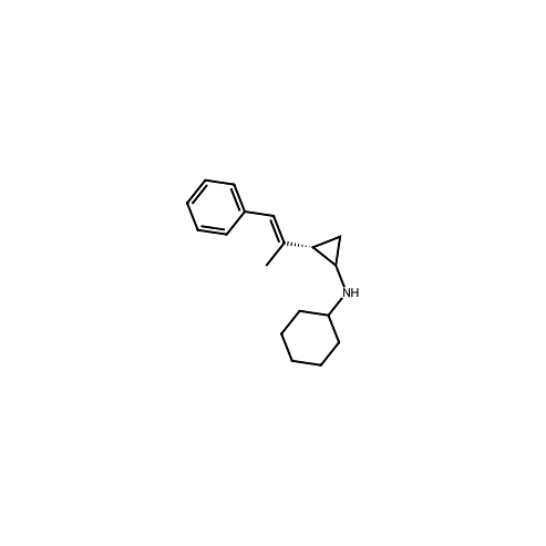 C/C(=C\c1ccccc1)[C@@H]1CC1NC1CCCCC1